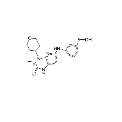 C[C@@H]1C(=O)Nc2ccc(Nc3cccc(SO)c3)nc2N1C1CCOCC1